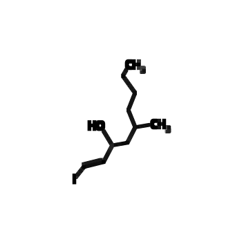 CCCCC(C)CC(O)/C=C/I